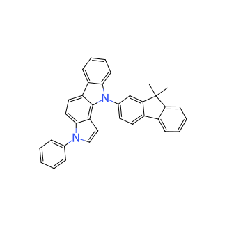 CC1(C)c2ccccc2-c2ccc(-n3c4ccccc4c4ccc5c(ccn5-c5ccccc5)c43)cc21